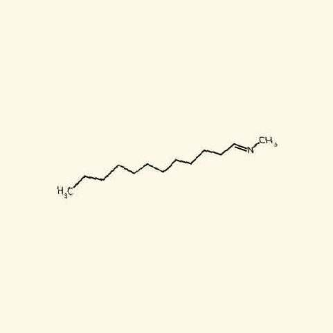 CCCCCCCCCCCC=NC